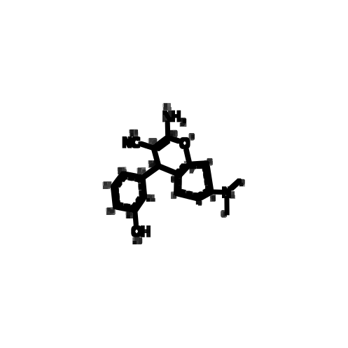 CN(C)c1ccc2c(c1)OC(N)=C(C#N)C2c1cccc(O)c1